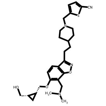 CN(C)Cc1c(OC[C@@H]2C[C@@H]2CO)ccc2c(CCC3CCN(Cc4ccc(C#N)s4)CC3)noc12